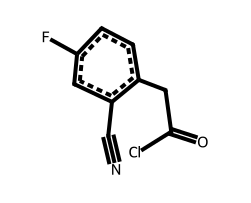 N#Cc1cc(F)ccc1CC(=O)Cl